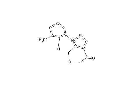 Cc1cccc(-n2ncc3c2COCC3=O)c1Cl